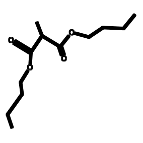 CCCCOC(=O)C(C)C(=O)OCCCC